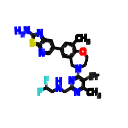 Cc1cc(-c2cnc3sc(N)nc3c2)cc2c1OCCN(c1nc(CNCC(F)F)nc(C)c1C(C)C)C2